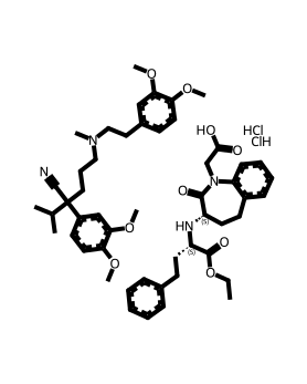 CCOC(=O)[C@H](CCc1ccccc1)N[C@H]1CCc2ccccc2N(CC(=O)O)C1=O.COc1ccc(CCN(C)CCCC(C#N)(c2ccc(OC)c(OC)c2)C(C)C)cc1OC.Cl.Cl